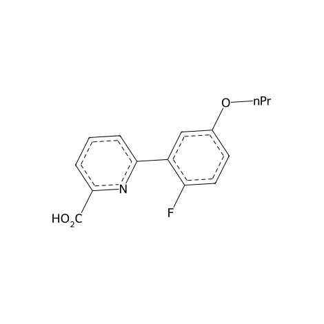 CCCOc1ccc(F)c(-c2cccc(C(=O)O)n2)c1